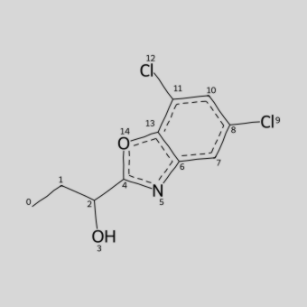 CCC(O)c1nc2cc(Cl)cc(Cl)c2o1